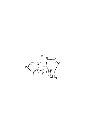 C[N+]1(Cc2cccs2)CC=CCC1.[I-]